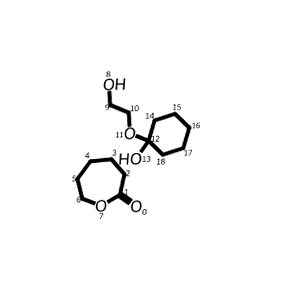 O=C1CCCCCO1.OCCOC1(O)CCCCC1